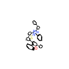 c1ccc(-c2cccc(-c3nc(-c4ccccc4)nc(-c4cccc5c4sc4c(-c6ccc(-c7ccccc7)c7oc8ccccc8c67)cccc45)n3)c2)cc1